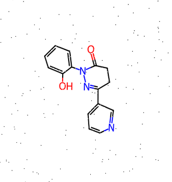 O=C1CCC(c2cccnc2)=NN1c1ccccc1O